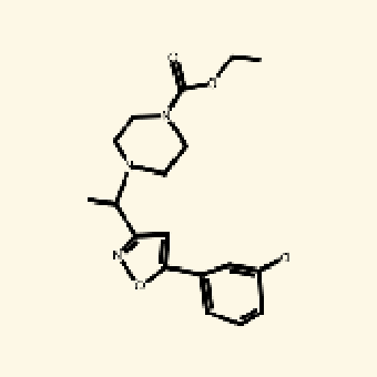 CCOC(=O)N1CCN(C(C)c2cc(-c3cccc(Cl)c3)on2)CC1